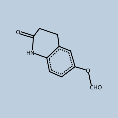 O=COc1ccc2c(c1)CCC(=O)N2